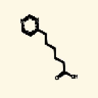 O=C(O)CCCCCc1ccncn1